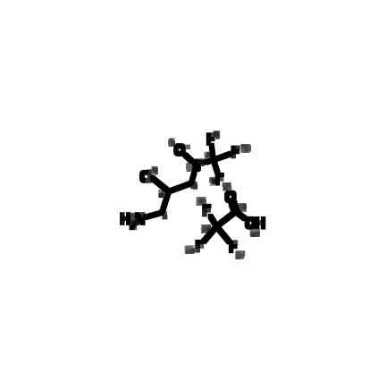 NCC(Cl)C[S+]([O-])C(F)(F)F.O=C(O)C(F)(F)F